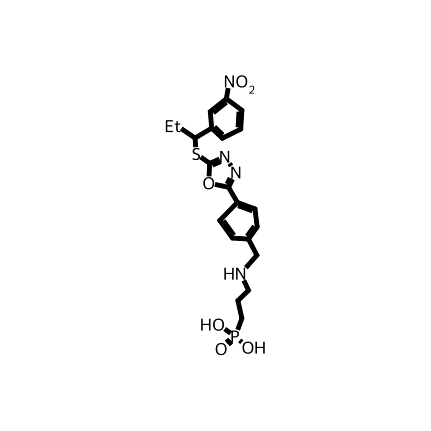 CCC(Sc1nnc(-c2ccc(CNCCCP(=O)(O)O)cc2)o1)c1cccc([N+](=O)[O-])c1